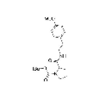 COc1ccc(CCNC(=O)C2CCCN2C(=O)OC(C)(C)C)cc1